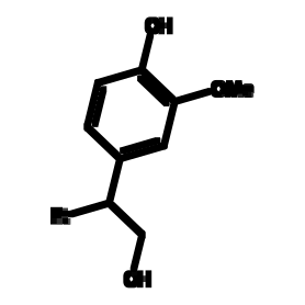 CCC(CO)c1ccc(O)c(OC)c1